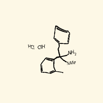 CNC(N)(Cc1ccccc1)c1ccccc1C.Cl.Cl